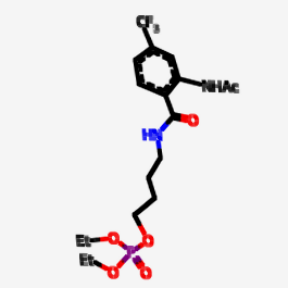 CCOP(=O)(OCC)OCCCCNC(=O)c1ccc(C(F)(F)F)cc1NC(C)=O